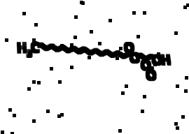 CCCCCCCCC=CCCCCCCCC(=O)OCC(CO)OC=O